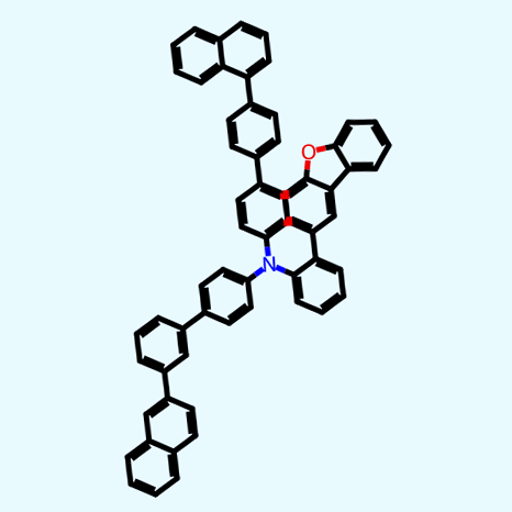 c1cc(-c2ccc(N(c3ccc(-c4ccc(-c5cccc6ccccc56)cc4)cc3)c3ccccc3-c3ccc4oc5ccccc5c4c3)cc2)cc(-c2ccc3ccccc3c2)c1